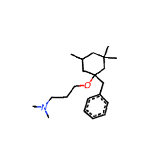 CC1CC(C)(C)CC(Cc2ccccc2)(OCCCN(C)C)C1